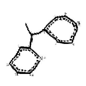 CC(c1ccccc1)c1ccccn1